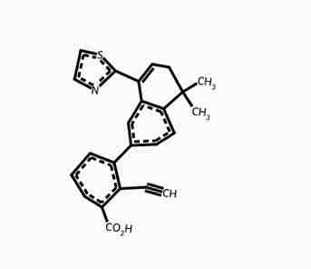 C#Cc1c(C(=O)O)cccc1-c1ccc2c(c1)C(c1nccs1)=CCC2(C)C